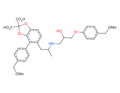 COCc1ccc(OCC(O)CNC(C)Cc2ccc3c(c2-c2ccc(COC)cc2)OC(C(=O)O)(C(=O)O)O3)cc1